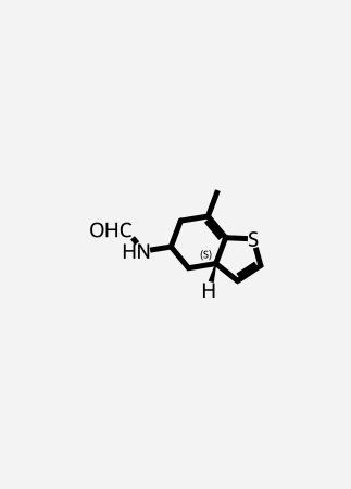 CC1=C2SC=C[C@@H]2CC(NC=O)C1